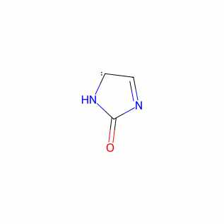 O=C1N=C[C]N1